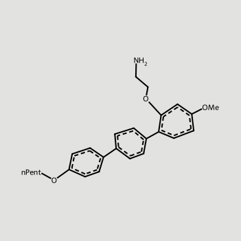 CCCCCOc1ccc(-c2ccc(-c3ccc(OC)cc3OCCN)cc2)cc1